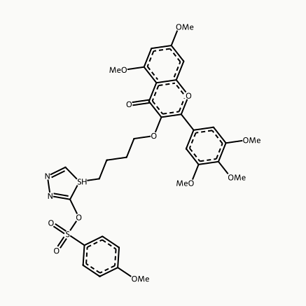 COc1ccc(S(=O)(=O)OC2=NN=C[SH]2CCCCOc2c(-c3cc(OC)c(OC)c(OC)c3)oc3cc(OC)cc(OC)c3c2=O)cc1